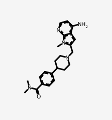 CN(C)C(=O)c1ccc(C2CCN(Cc3cc4c(N)ccnc4n3C)CC2)cc1